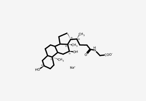 C[C@H](CCC(=O)NCC(=O)[O-])[C@H]1CCC2C3CCC4C[C@H](O)CC[C@]4(C)C3C[C@H](O)[C@@]21C.[Na+]